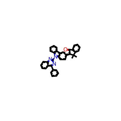 CC1(C)c2ccccc2-c2oc3c(ccc4c3c3ccccc3n4-c3nc(-c4ccccc4)c4ccccc4n3)c21